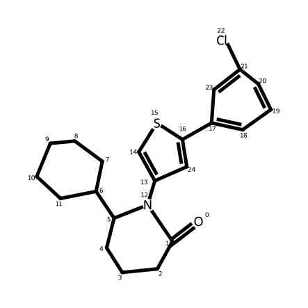 O=C1CCCC(C2CCCCC2)N1c1csc(-c2cccc(Cl)c2)c1